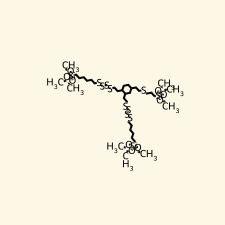 CCO[Si](CCCCCCSSSSCCC1CCC(CCSCCC[Si](OCC)(OCC)OCC)CC1CCSSSSCCCCCC[Si](OCC)(OCC)OCC)(OCC)OCC